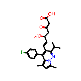 Cc1cc(C)n2nc(C(C)C)c(/C=C/C(O)CC(=O)CC(=O)O)c(-c3ccc(F)cc3)c12